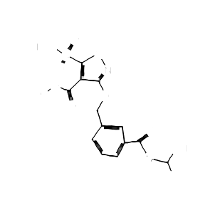 COC(=O)c1c(OCc2cccc(C(=O)NC(C)C)c2)nsc1S(C)(=O)=O